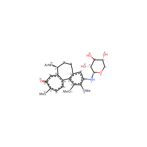 COc1c(N[C@@H]2OC[C@@H](O)C(O)[C@H]2O)cc2c(c1OC)-c1ccc(SC)c(=O)cc1[C@@H](NC(C)=O)CC2